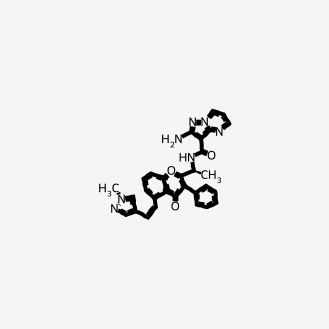 C[C@H](NC(=O)c1c(N)nn2cccnc12)c1oc2cccc(/C=C\c3cnn(C)c3)c2c(=O)c1-c1ccccc1